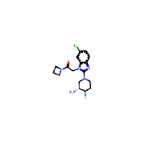 N[C@@H]1CN(c2nc3ccc(Br)cc3n2CC(=O)N2CCC2)CC[C@H]1F